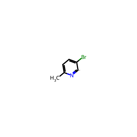 Cc1ccc(Br)[c]n1